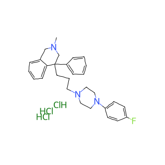 CN1Cc2ccccc2C(CCCN2CCN(c3ccc(F)cc3)CC2)(c2ccccc2)C1.Cl.Cl.Cl